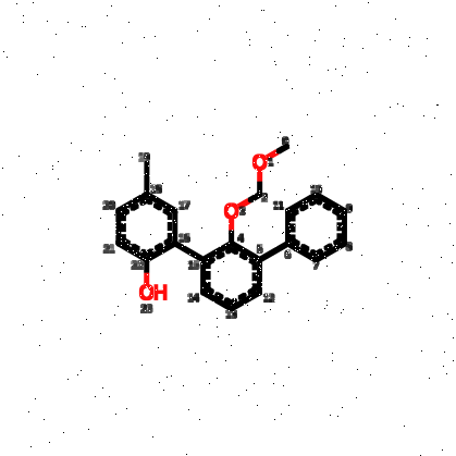 COCOc1c(-c2ccccc2)cccc1-c1cc(C)ccc1O